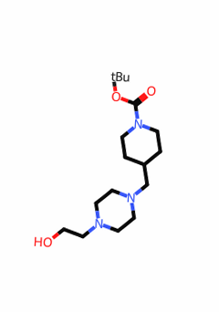 CC(C)(C)OC(=O)N1CCC(CN2CCN(CCO)CC2)CC1